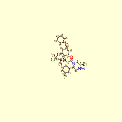 CCC1CN(C(=O)C(c2ccc(F)cc2)N(C(=O)CCl)c2ccc(Oc3ccccc3)cc2C)CCN1